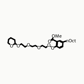 CCCCCCCCc1ccc(OOCCOCCOCCOC2CCCCO2)c(C(=O)OC)c1